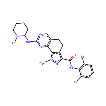 CCc1cccc(CC)c1NC(=O)c1nn(C)c2c1CCc1cnc(NC3CCCCN3CC)nc1-2